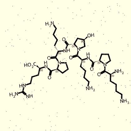 N=C(N)NCCC[C@H](NC(=O)[C@@H]1CCCN1C(=O)[C@H](CCCCN)NC(=O)[C@@H]1C[C@@H](O)CN1C(=O)[C@H](CCCCN)NC(=O)[C@@H]1CCCN1C(=O)[C@@H](N)CCCCN)C(=O)O